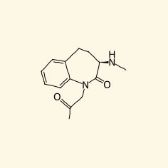 CN[C@@H]1CCc2ccccc2N(CC(C)=O)C1=O